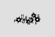 O=C(Nc1ccc(F)cc1)N(I)c1cnn2ccc(N3CCCC3c3cc(F)ccc3F)nc12